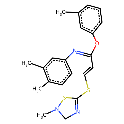 Cc1cccc(OC(C=CSC2=NCN(C)S2)=Nc2ccc(C)c(C)c2)c1